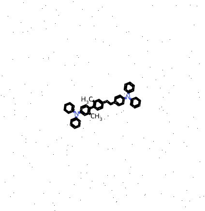 Cc1cc(CCC2=CCC(N(C3=CC=CCC3)c3ccccc3)C=C2)ccc1-c1ccc(N(C2=CC=CCC2)C2=CCCCC2)cc1C